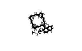 COc1ccc2ccccc2c1C1=CC2=CC3=NC(=CC4=NC(=CC5=NC(=CC1=N2)C=C5)C=C4)C=C3